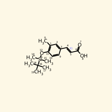 Cc1cc(/C=C/C(=O)O)ccc1O[Si](C)(C)C(C)(C)C